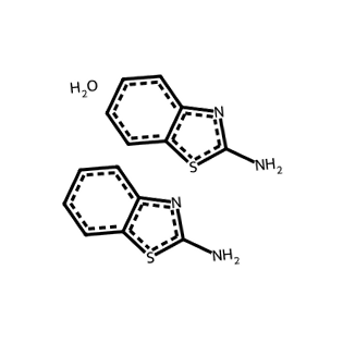 Nc1nc2ccccc2s1.Nc1nc2ccccc2s1.O